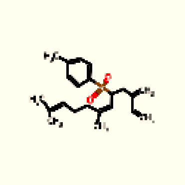 C=CC(=C)CC(/C=C(/C)CCC=C(C)C)S(=O)(=O)c1ccc(C)cc1